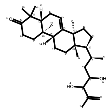 C=C(C)C(O)C(O)C[C@H](C)[C@@H]1CC[C@]2(C)C3=CC[C@H]4C(C)(C)C(=O)CC[C@]4(C)[C@H]3CC[C@@]12C